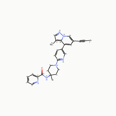 CC(C)C#Cc1cc(-c2ccc(N3CCC(C)(NC(=O)c4ccccn4)CC3)nc2)c2c(C#N)cnn2c1